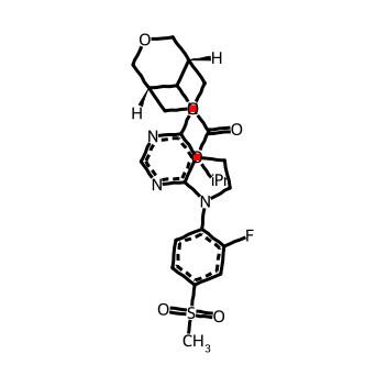 CC(C)OC(=O)N1C[C@H]2COC[C@@H](C1)C2Oc1ncnc2c1CCN2c1ccc(S(C)(=O)=O)cc1F